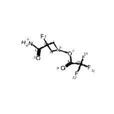 NC(=O)C1(F)CN(OC(=O)C(F)(F)F)C1